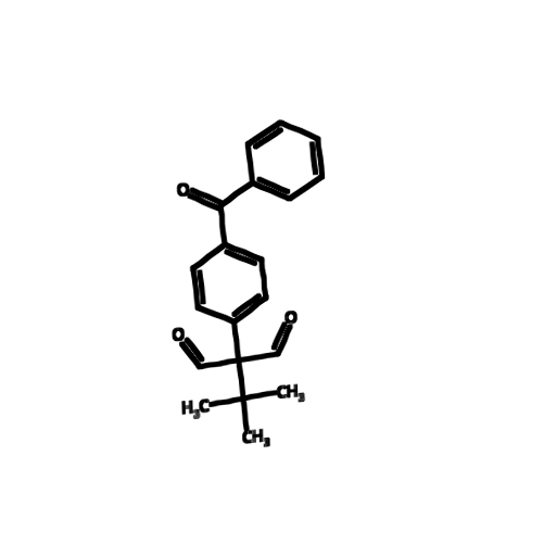 CC(C)(C)C(C=O)(C=O)c1ccc(C(=O)c2ccccc2)cc1